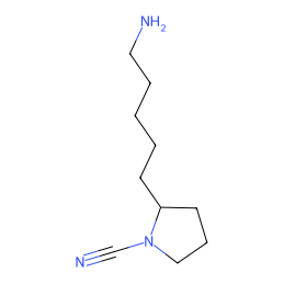 N#CN1CCCC1CCCCCN